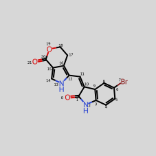 O=C1Nc2ccc(Br)cc2C1=Cc1[nH]cc2c1CCOC2=O